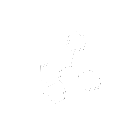 c1ccc(N(c2cccnc2)c2cccc3ncccc23)cc1